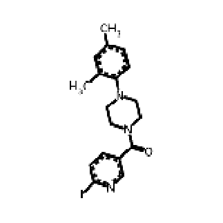 Cc1ccc(N2CCN(C(=O)c3ccc(I)nc3)CC2)c(C)c1